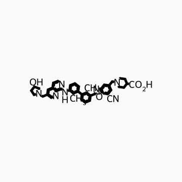 Cc1c(Nc2nccc3cc(CN4CC[C@@H](O)C4)cnc23)cccc1-c1cccc(-c2nc3cc(CN4CCC(C(=O)O)CC4)cc(C#N)c3o2)c1C